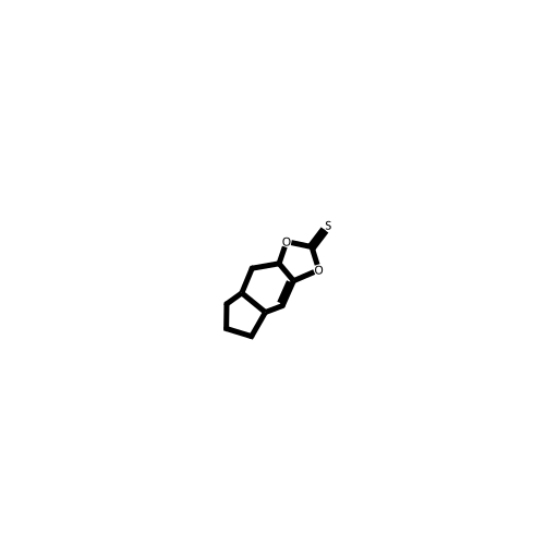 S=C1OC2=CC3CCCC3CC2O1